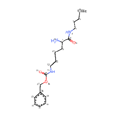 COCCCNC(=O)C(N)CCCCNC(=O)OCc1ccccc1